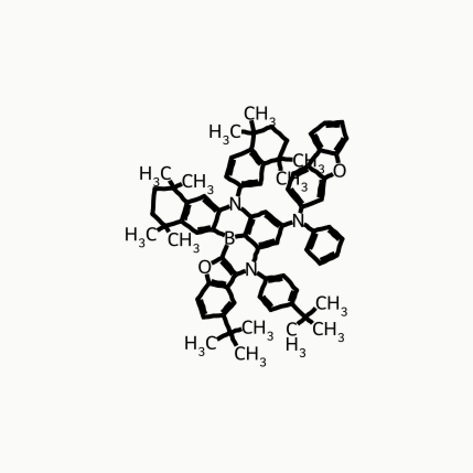 CC(C)(C)c1ccc(N2c3cc(N(c4ccccc4)c4ccc5c(c4)oc4ccccc45)cc4c3B(c3cc5c(cc3N4c3ccc4c(c3)C(C)(C)CCC4(C)C)C(C)(C)CCC5(C)C)c3oc4ccc(C(C)(C)C)cc4c32)cc1